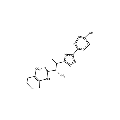 CC(c1nc(-c2ccc(O)cn2)no1)[C@H](N)C(=O)NC1=C(C(=O)O)CCCC1